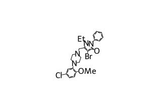 CCn1c(CN2CCN(c3cc(Cl)ccc3OC)CC2)c(Br)c(=O)n1-c1ccccc1